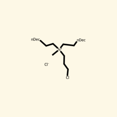 CCCCCCCCCCCC[N+](C)(CCCCl)CCCCCCCCCCCC.[Cl-]